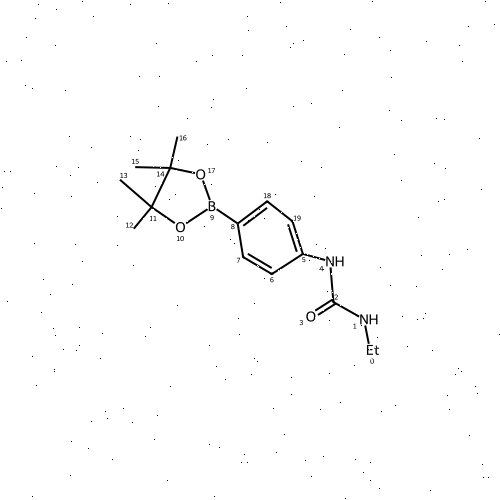 CCNC(=O)Nc1ccc(B2OC(C)(C)C(C)(C)O2)cc1